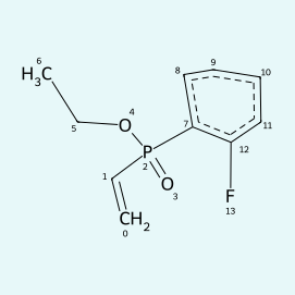 C=CP(=O)(OCC)c1ccccc1F